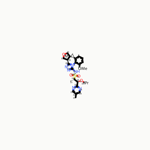 COc1cccc(OC)c1-n1c(NS(=O)(=O)[C@@H](C)[C@@H](OC(C)C)c2ncc(C)cn2)nnc1[C@@H]1CCOC1